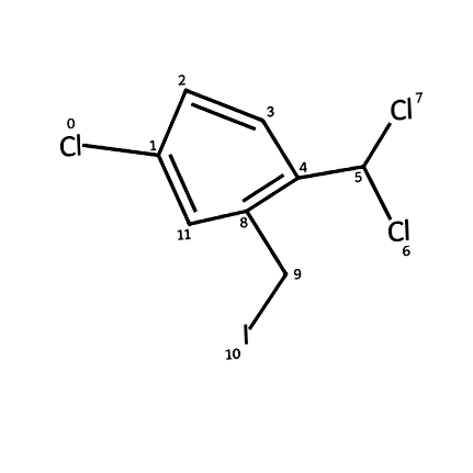 Clc1ccc(C(Cl)Cl)c(CI)c1